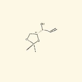 C=CC(O)[C@H]1COC(C)(C)O1